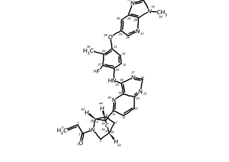 C=CC(=O)N1C[C@H]2CC[C@@H]1[C@H](c1ccc3ncnc(Nc4ccc(Oc5cnc6c(c5)ncn6C)c(C)c4F)c3n1)C2